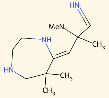 CNC(C)(C=N)/C=C1\NCCNCC1(C)C